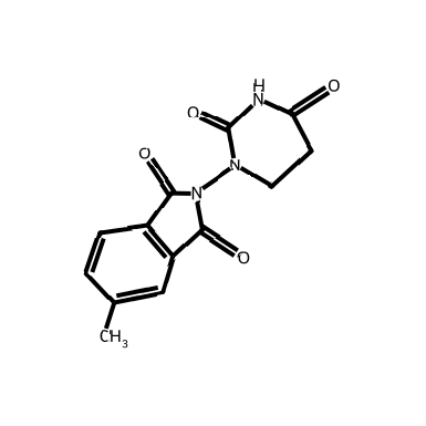 Cc1ccc2c(c1)C(=O)N(N1CCC(=O)NC1=O)C2=O